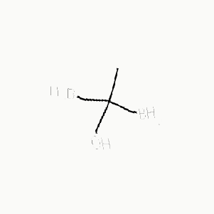 BC(B)(C)O